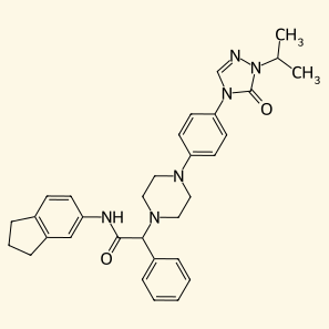 CC(C)n1ncn(-c2ccc(N3CCN(C(C(=O)Nc4ccc5c(c4)CCC5)c4ccccc4)CC3)cc2)c1=O